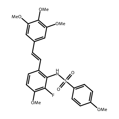 COc1ccc(S(=O)(=O)Nc2c(C=Cc3cc(OC)c(OC)c(OC)c3)ccc(OC)c2F)cc1